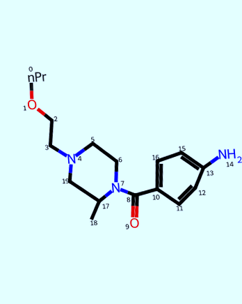 CCCOCCN1CCN(C(=O)c2ccc(N)cc2)C(C)C1